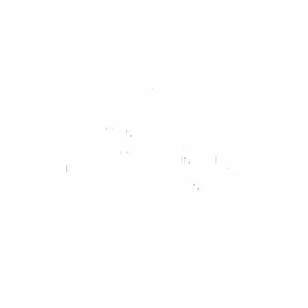 O=C(NCc1ncc(Cl)cc1C(F)(F)F)c1ccc2c(c1)C1(CCSCC1)C(C1CC1)N2S(=O)(=O)c1ccc(F)cc1